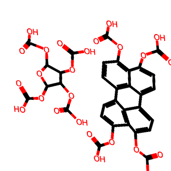 O=C(O)OC1OC(OC(=O)O)C(OC(=O)O)C1OC(=O)O.O=C(O)Oc1ccc2c3ccc(OC(=O)O)c4c(OC(=O)O)ccc(c5ccc(OC(=O)O)c1c25)c43